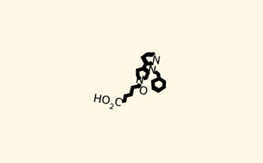 O=C(O)CCCCC(=O)N1CCc2c(n(CC3CC=CCC3)c3ncccc23)C1